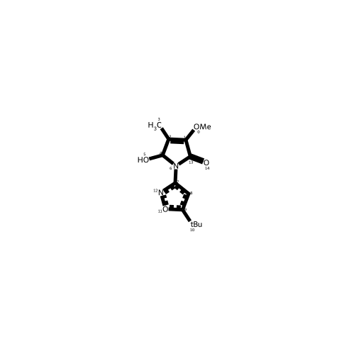 COC1=C(C)C(O)N(c2cc(C(C)(C)C)on2)C1=O